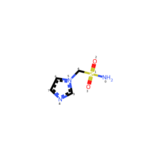 NS(=O)(=O)Cn1ccnc1